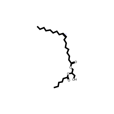 CCCCCCCC/C=C\CCCCCCCC(=O)OCC(CO)OC(=O)CCCCC